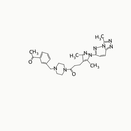 CC(=O)c1cccc(CN2CCN(C(=O)CCc3c(C)nn(-c4ccc5nnc(C)n5n4)c3C)CC2)c1